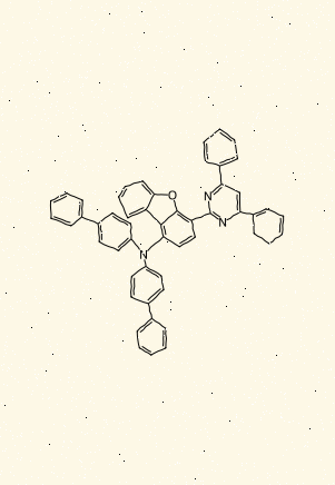 C1=CCCC(c2cc(-c3ccccc3)nc(-c3ccc(N(c4ccc(-c5ccccc5)cc4)c4ccc(-c5ccccc5)cc4)c4c3oc3ccccc34)n2)=C1